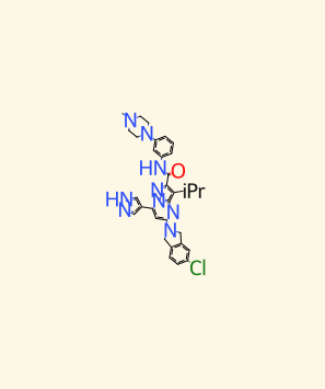 CC(C)c1c(C(=O)Nc2cccc(N3CCN(C)CC3)c2)nn2c(-c3cn[nH]c3)cc(N3Cc4ccc(Cl)cc4C3)nc12